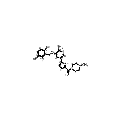 CN1CCN(C(=O)c2ccc(-c3cnc(N)c(OCc4c(F)ccc(F)c4Cl)c3)s2)CC1